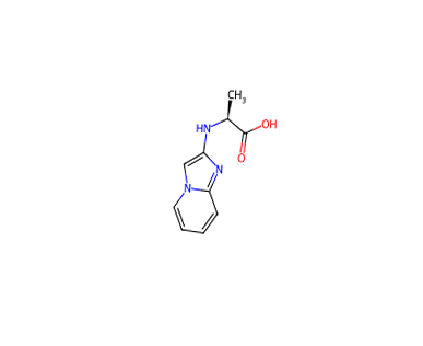 C[C@H](Nc1cn2ccccc2n1)C(=O)O